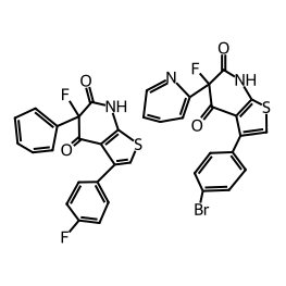 O=C1Nc2scc(-c3ccc(Br)cc3)c2C(=O)C1(F)c1ccccn1.O=C1Nc2scc(-c3ccc(F)cc3)c2C(=O)C1(F)c1ccccc1